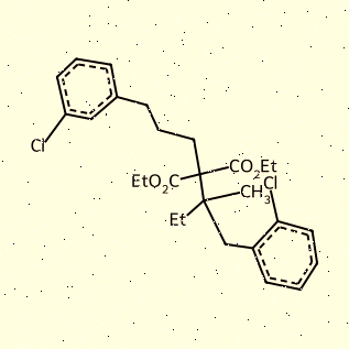 CCOC(=O)C(CCCc1cccc(Cl)c1)(C(=O)OCC)C(C)(CC)Cc1ccccc1Cl